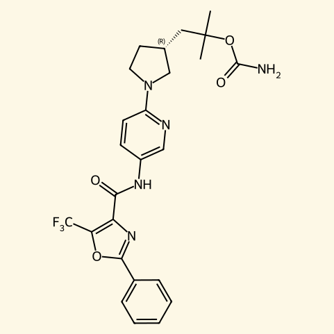 CC(C)(C[C@H]1CCN(c2ccc(NC(=O)c3nc(-c4ccccc4)oc3C(F)(F)F)cn2)C1)OC(N)=O